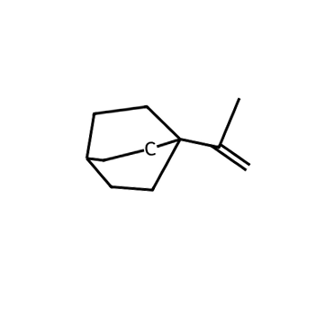 C=C(C)C12CCC(CC1)CC2